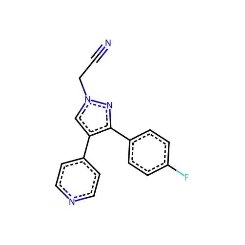 N#CCn1cc(-c2ccncc2)c(-c2ccc(F)cc2)n1